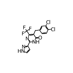 O=c1[nH]c(-c2cc[nH]n2)nc(C(F)(F)F)c1Cc1ccc(Cl)c(Cl)c1